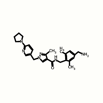 Cc1cc(CN)cc(C)c1CNC(=O)c1cn(Cc2ccc(N3CCCC3)nc2)nc1C